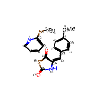 CCCCSc1ccccn1.COc1ccc(C=C2NC(=O)SC2=O)cc1